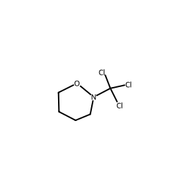 ClC(Cl)(Cl)N1CCCCO1